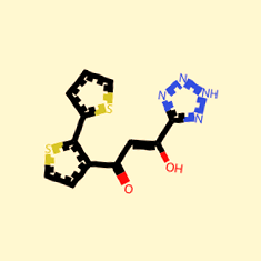 O=C(C=C(O)c1nn[nH]n1)c1ccsc1-c1cccs1